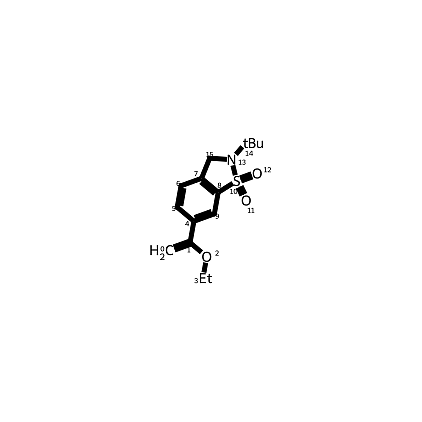 C=C(OCC)c1ccc2c(c1)S(=O)(=O)N(C(C)(C)C)C2